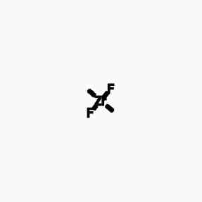 [CH3][Zr]([CH3])([F])[F]